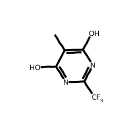 Cc1c(O)nc(C(F)(F)F)nc1O